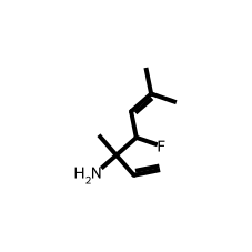 C=CC(C)(N)C(F)C=C(C)C